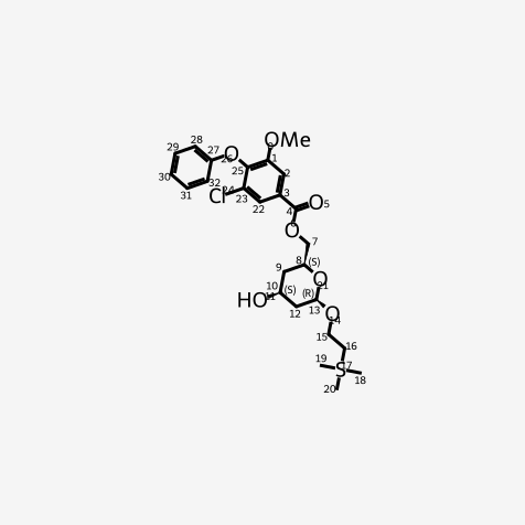 COc1cc(C(=O)OC[C@@H]2C[C@H](O)C[C@H](OCCS(C)(C)C)O2)cc(Cl)c1Oc1ccccc1